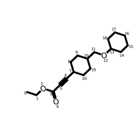 CCOC(=O)C#CC1CCC(COC2CCCCC2)CC1